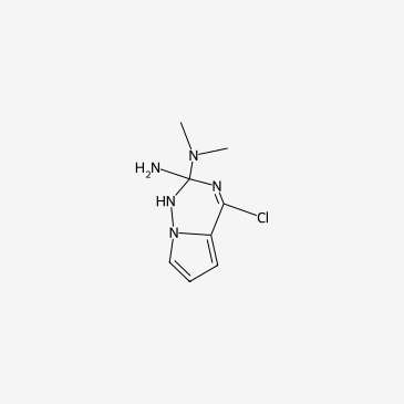 CN(C)C1(N)N=C(Cl)c2cccn2N1